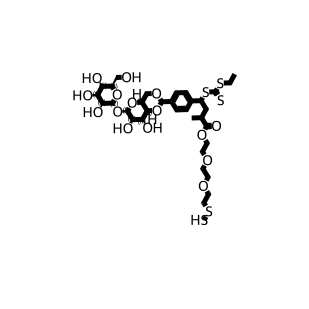 CCSC(=S)SC(CC(C)C(=O)OCCOCCOCCSS)c1ccc(C2OC[C@H]3O[C@H](O[C@H]4O[C@H](CO)[C@@H](O)[C@H](O)[C@H]4O)[C@H](O)[C@@H](O)[C@@H]3O2)cc1